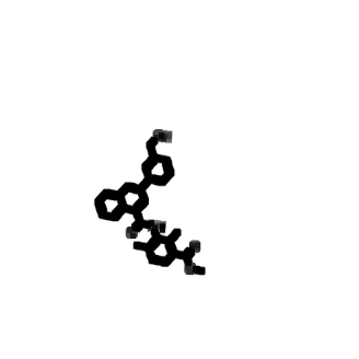 COC(=O)c1ccc(C)c(NC(=O)c2cc(-c3cccc(CO)c3)cc3ccccc23)c1C